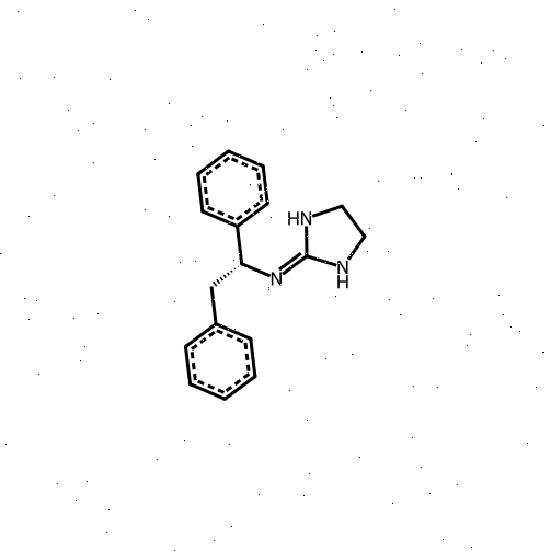 c1ccc(C[C@@H](N=C2NCCN2)c2ccccc2)cc1